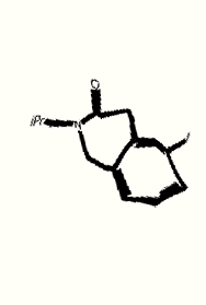 CC(C)N1Cc2cccc(I)c2CC1=O